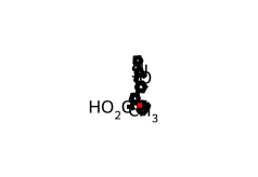 CC(C(=O)O)c1ccc(-c2cccc(/C=C3/SC(N4CCCC4)=NC3=O)c2)cc1C12CC3CC(CC(C3)C1)C2